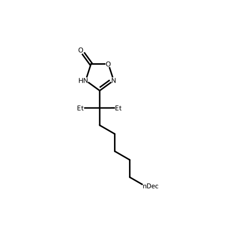 CCCCCCCCCCCCCCCC(CC)(CC)c1noc(=O)[nH]1